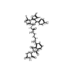 Cc1sc2c(c1C)C(c1ccc(Cl)cc1)=N[C@@H](CC(=O)NCCCNc1cccc3c1C(=O)N(C1CCC(=O)NC1=O)C3=O)c1nnc(C)n1-2